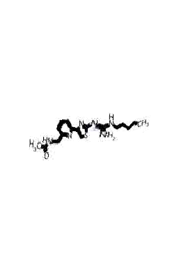 CCCCCN/C(N)=N/c1nc(-c2cccc(CNC(C)=O)n2)cs1